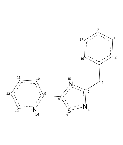 c1ccc(Cc2nsc(-c3ccccn3)n2)cc1